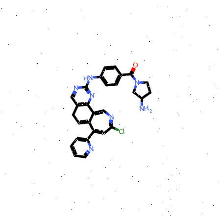 NC1CCN(C(=O)c2ccc(Nc3ncc4c(n3)C3=CN=C(Cl)C=C(c5ccccn5)C3=CC4)cc2)C1